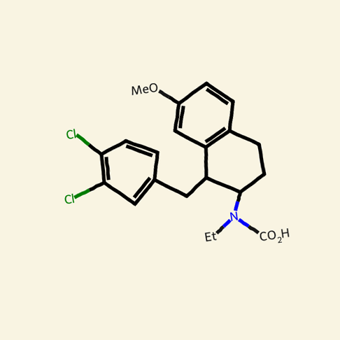 CCN(C(=O)O)C1CCc2ccc(OC)cc2C1Cc1ccc(Cl)c(Cl)c1